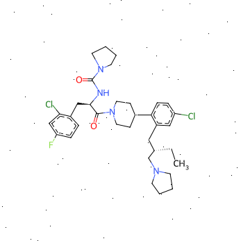 CC[C@@H](Cc1cc(Cl)ccc1C1CCN(C(=O)[C@@H](Cc2ccc(F)cc2Cl)NC(=O)N2CCCC2)CC1)CN1CCCC1